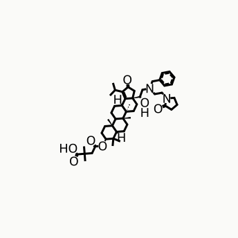 CC(C)C1=C2[C@H]3CCC4[C@@]5(C)CC[C@H](OC(=O)CC(C)(C)C(=O)O)C(C)(C)[C@@H]5CC[C@@]4(C)[C@]3(C)CC[C@@]2(C(O)CN(CCN2CCCC2=O)Cc2ccccc2)CC1=O